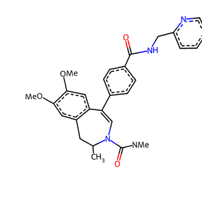 CNC(=O)N1C=C(c2ccc(C(=O)NCc3ccccn3)cc2)c2cc(OC)c(OC)cc2CC1C